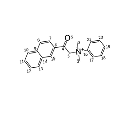 C[N+](C)(CC(=O)c1ccc2ccccc2c1)c1ccccc1